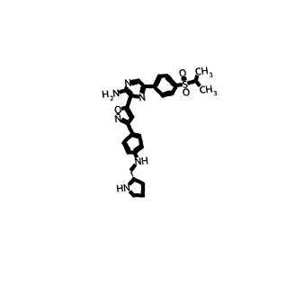 CC(C)S(=O)(=O)c1ccc(-c2cnc(N)c(-c3cc(-c4ccc(NC[C@@H]5CCCN5)cc4)no3)n2)cc1